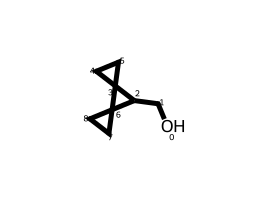 OCC1C2(CC2)C12CC2